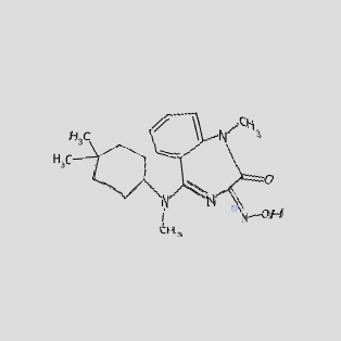 CN(c1n/c(=N/O)c(=O)n(C)c2ccccc12)C1CCC(C)(C)CC1